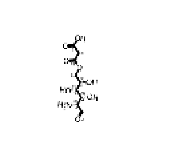 N[C@@H](C=O)[C@@H](O)[C@H](O)[C@H](O)COC(=O)CC(=O)O